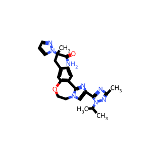 Cc1nc(-c2cn3c(n2)-c2ccc(CC(C)(C(N)=O)n4cccn4)cc2OCC3)n(C(C)C)n1